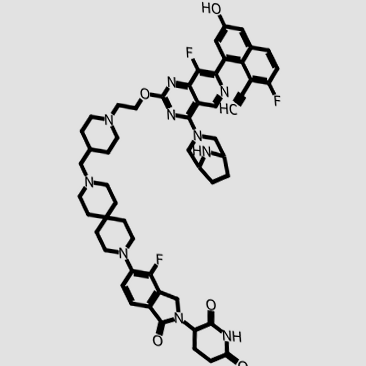 C#Cc1c(F)ccc2cc(O)cc(-c3ncc4c(N5CC6CCC(C5)N6)nc(OCCN5CCC(CN6CCC7(CC6)CCN(c6ccc8c(c6F)CN(C6CCC(=O)NC6=O)C8=O)CC7)CC5)nc4c3F)c12